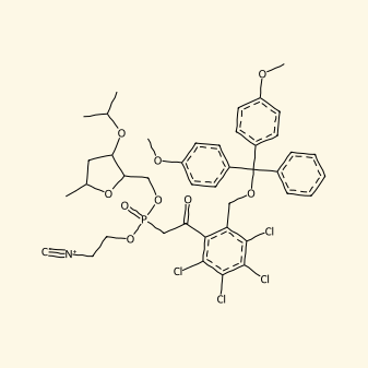 [C-]#[N+]CCOP(=O)(CC(=O)c1c(Cl)c(Cl)c(Cl)c(Cl)c1COC(c1ccccc1)(c1ccc(OC)cc1)c1ccc(OC)cc1)OCC1OC(C)CC1OC(C)C